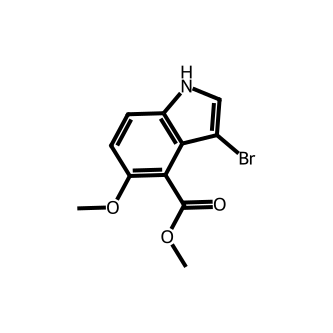 COC(=O)c1c(OC)ccc2[nH]cc(Br)c12